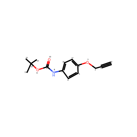 C#CCOc1ccc(NC(=O)OC(C)(C)C)cc1